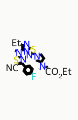 CCOC(=O)CN(C)C1CCN(c2nn3c(N(C)c4nc(-c5ccc(F)cc5)c(C#N)s4)c(CC)nc3s2)C1